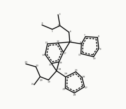 CCC(C)CC1(c2ccccc2)c2ccc3c(c21)C3(CC(C)CC)c1ccccc1